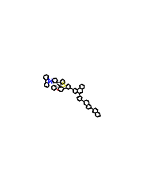 c1ccc([Si](c2ccccc2)(c2cccc(-n3c4ccccc4c4ccccc43)c2)c2cccc3c2sc2ccc(-c4ccc5c(-c6cccc(-c7ccc8cc(-c9ccc%10ccccc%10c9)ccc8c7)c6)cc6ccccc6c5c4)cc23)cc1